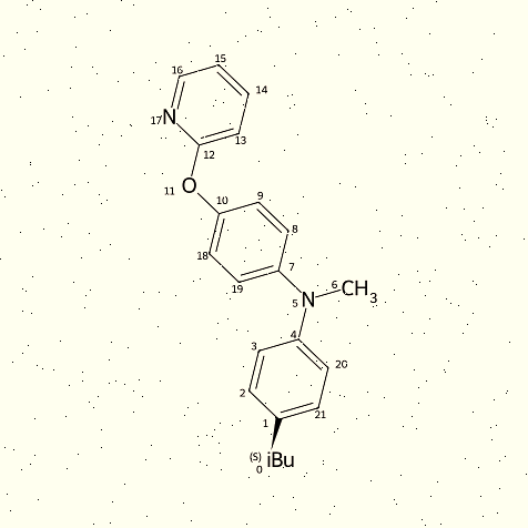 CC[C@H](C)c1ccc(N(C)c2ccc(Oc3ccccn3)cc2)cc1